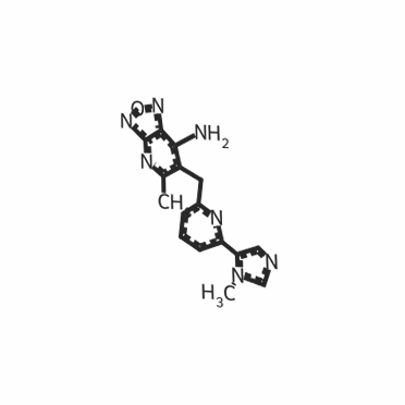 Cc1nc2nonc2c(N)c1Cc1cccc(-c2cncn2C)n1